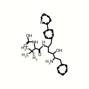 CC(C)(C)C(NC(=O)O)C(=O)NC(Cc1ccc(-c2ccccn2)cc1)CC(O)C(N)Cc1ccccc1